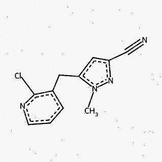 Cn1nc(C#N)cc1Cc1cccnc1Cl